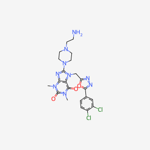 Cn1c(=O)c2c(nc(N3CCN(CCN)CC3)n2Cc2nnc(-c3ccc(Cl)c(Cl)c3)o2)n(C)c1=O